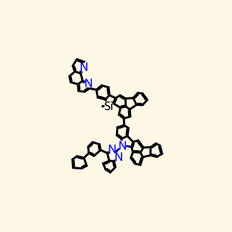 C[Si]1(C)c2cc(-c3ccc4ccc5cccnc5c4n3)ccc2-c2cc3c4c(cc(-c5ccc6c(c5)c5cc7c8c(cccc8c5n6-c5nc(-c6cccc(-c8ccccc8)c6)c6ccccc6n5)-c5ccccc5-7)cc4c21)-c1ccccc1-3